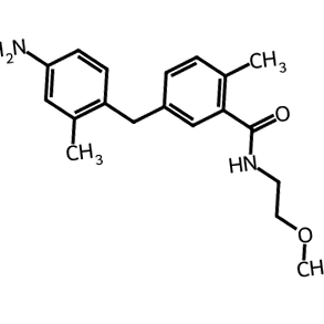 COCCNC(=O)c1cc(Cc2ccc(N)cc2C)ccc1C